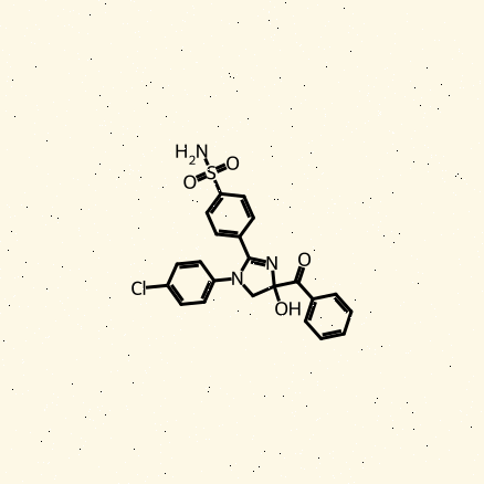 NS(=O)(=O)c1ccc(C2=NC(O)(C(=O)c3ccccc3)CN2c2ccc(Cl)cc2)cc1